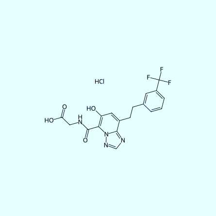 Cl.O=C(O)CNC(=O)c1c(O)cc(CCc2cccc(C(F)(F)F)c2)c2ncnn12